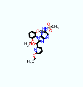 CCOc1cccc(C(O)c2nc3ncc(NS(C)(=O)=O)nc3n2-c2c(OC)cccc2OC)n1